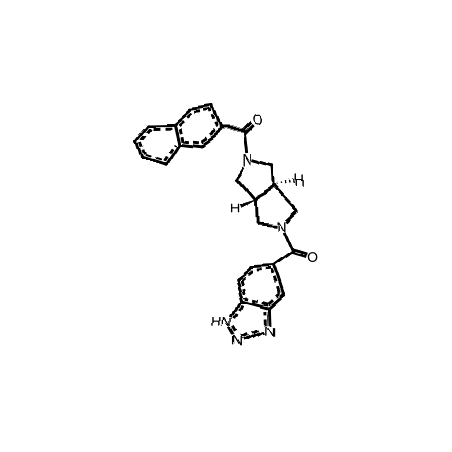 O=C(c1ccc2ccccc2c1)N1C[C@H]2CN(C(=O)c3ccc4[nH]nnc4c3)C[C@@H]2C1